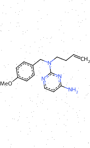 C=CCCN(Cc1ccc(OC)cc1)c1nccc(N)n1